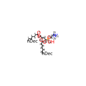 CCCCCCCCCCCCCCCC(=O)OCC(CCP(O)OCC[N+](C)(C)C)OC(=O)CCCCCCCCCCCCCCC